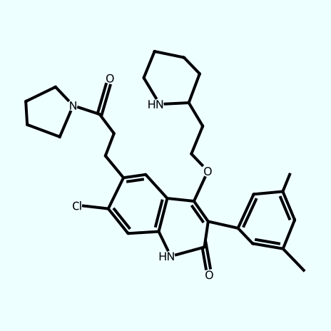 Cc1cc(C)cc(-c2c(OCCC3CCCCN3)c3cc(CCC(=O)N4CCCC4)c(Cl)cc3[nH]c2=O)c1